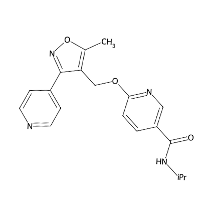 Cc1onc(-c2ccncc2)c1COc1ccc(C(=O)NC(C)C)cn1